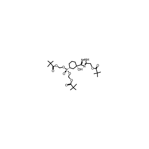 CC(C)(C)C(=O)OCOP(=O)(OCOC(=O)C(C)(C)C)[C@@H]1CCC[C@@](O)(c2n[nH]c(COC(=O)C(C)(C)C)n2)C1